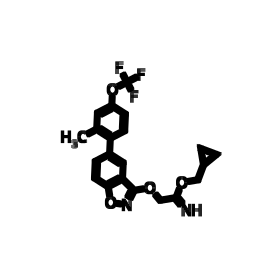 Cc1cc(OC(F)(F)F)ccc1-c1ccc2onc(OCC(=N)OCC3CC3)c2c1